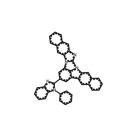 c1ccc(-n2c(-c3cc4c5cc6ccccc6cc5n5c4c(c3)n3c4cc6ccccc6cc4nc35)nc3ccccc32)cc1